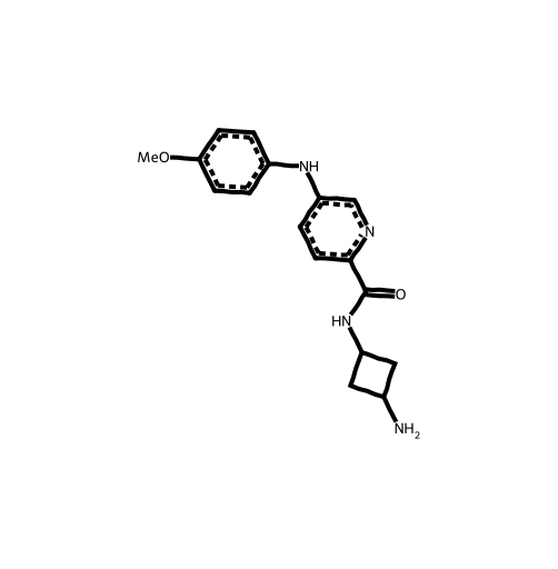 COc1ccc(Nc2ccc(C(=O)NC3CC(N)C3)nc2)cc1